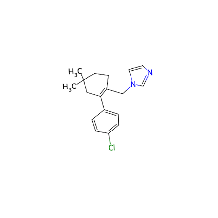 CC1(C)CCC(Cn2ccnc2)=C(c2ccc(Cl)cc2)C1